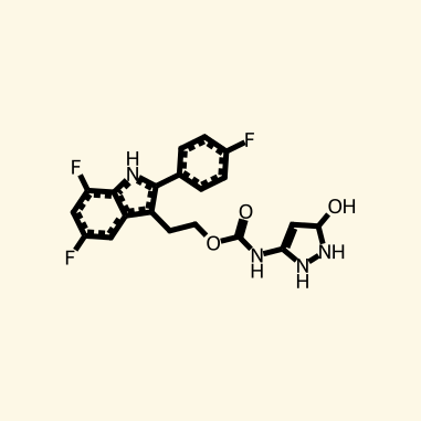 O=C(NC1=CC(O)NN1)OCCc1c(-c2ccc(F)cc2)[nH]c2c(F)cc(F)cc12